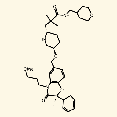 COCCCN1C(=O)[C@](C)(C2C=CC=CC2)Oc2ccc(CO[C@@H]3CC[C@@H](CC(C)(C)C(=O)NCC4CCOCC4)NC3)cc21